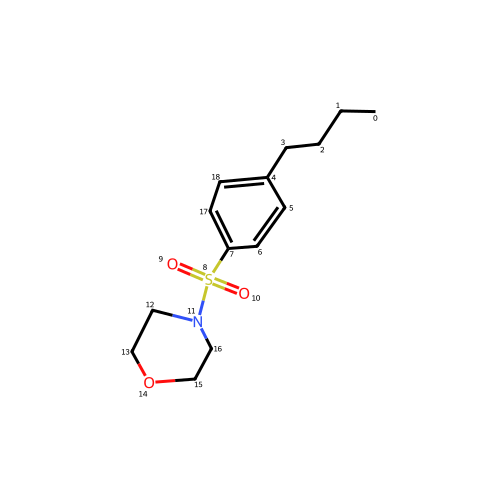 CCCCc1ccc(S(=O)(=O)N2CCOCC2)cc1